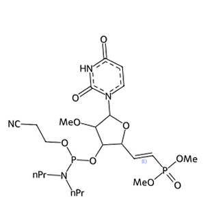 CCCN(CCC)P(OCCC#N)OC1C(/C=C/P(=O)(OC)OC)OC(n2ccc(=O)[nH]c2=O)C1OC